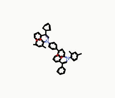 Cc1ccc(N(C=C(c2ccccc2)c2ccccc2)c2ccc(-c3ccc(N(/C=C(\c4ccccc4)C4C=CC=CC4)c4ccc(C)cc4C)cc3)cc2)c(C)c1